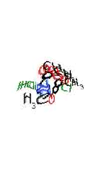 COc1cc(CN2CCN(C(C)C(=O)c3ccc4c(Cl)c(OC)ccc4c3)CC2)cc(OC)c1OC.Cl.Cl